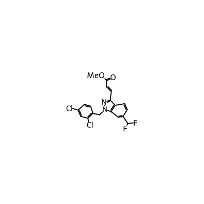 COC(=O)C=Cc1nn(Cc2ccc(Cl)cc2Cl)c2cc(C(F)F)ccc12